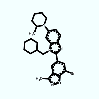 Cc1noc2c(Br)cc(-c3nc4ccc(N5CCCCC5C)cc4n3CC3CCCCC3)cc12